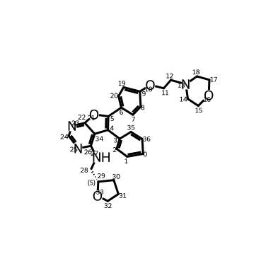 c1ccc(-c2c(-c3ccc(OCCN4CCOCC4)cc3)oc3ncnc(NC[C@@H]4CCCO4)c23)cc1